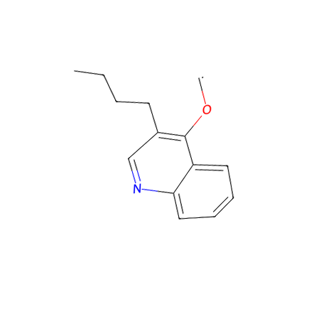 [CH2]Oc1c(CCCC)cnc2ccccc12